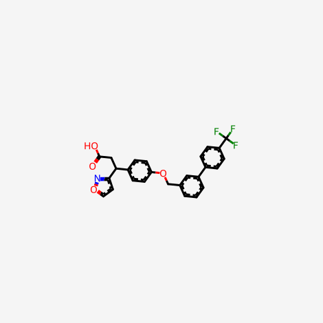 O=C(O)CC(c1ccc(OCc2cccc(-c3ccc(C(F)(F)F)cc3)c2)cc1)c1ccon1